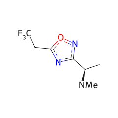 CN[C@H](C)c1noc(CC(F)(F)F)n1